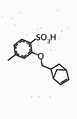 Cc1ccc(S(=O)(=O)O)c(OCC2CC3C=CC2C3)c1